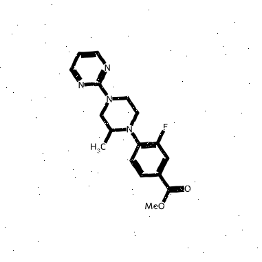 COC(=O)c1ccc(N2CCN(c3ncccn3)CC2C)c(F)c1